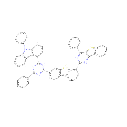 c1ccc(-c2nc(-c3ccc4c(c3)sc3c(-c5nc(-c6ccccc6)c6sc7ccccc7c6n5)cccc34)nc(-c3cccc4c3c3ccccc3n4-c3ccccc3)n2)cc1